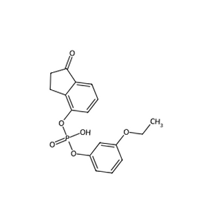 CCOc1cccc(OP(=O)(O)Oc2cccc3c2CCC3=O)c1